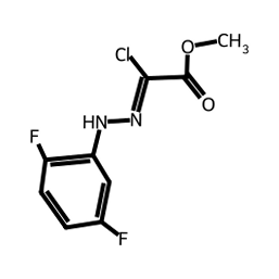 COC(=O)C(Cl)=NNc1cc(F)ccc1F